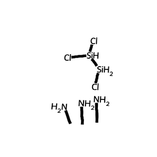 CN.CN.CN.Cl[SiH2][SiH](Cl)Cl